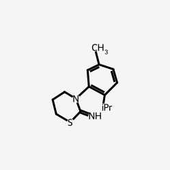 Cc1ccc(C(C)C)c(N2CCCSC2=N)c1